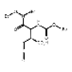 CCON(C(=O)C(NC(=O)OC(C)(C)C)[C@H](C=C=O)C(=O)O)C(C)C